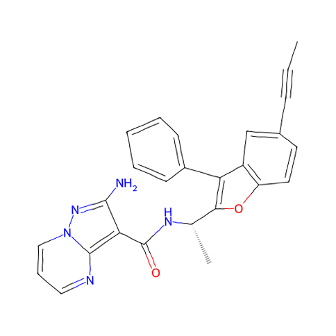 CC#Cc1ccc2oc([C@H](C)NC(=O)c3c(N)nn4cccnc34)c(-c3ccccc3)c2c1